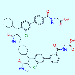 O=C(O)CNC(=O)c1ccc(-c2ccc(C(C3CCCCC3)C3CCNC3=O)c(Cl)c2)cc1.O=C(O)CNC(=O)c1cccc(-c2ccc(C(C3CCCCC3)C3CCNC3=O)c(Cl)c2)c1